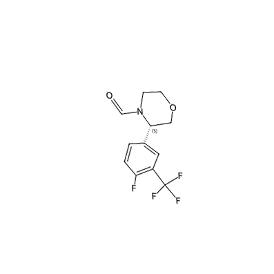 O=CN1CCOC[C@@H]1c1ccc(F)c(C(F)(F)F)c1